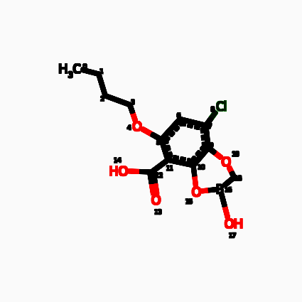 CCCCOc1cc(Cl)c2c(c1C(=O)O)OB(O)CO2